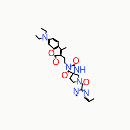 C=N/C(=N\C=C/C)C(=O)N1CCC2(C1)NC(=O)N(CCc1c(C)c3ccc(N(CC)CC)cc3oc1=O)C2=O